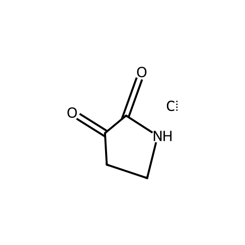 O=C1CCNC1=O.[C]